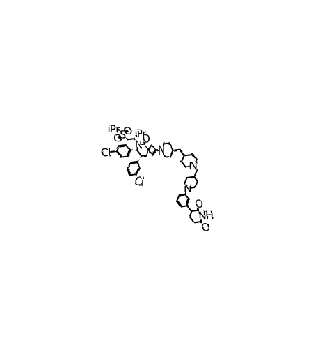 CC(C)[C@@H](CS(=O)(=O)C(C)C)N1C(=O)[C@]2(C=C(N3CCC(CC4CCN(CC5CCN(c6cccc(C7CCC(=O)NC7=O)c6)CC5)CC4)CC3)C2)C[C@H](c2cccc(Cl)c2)[C@H]1c1ccc(Cl)cc1